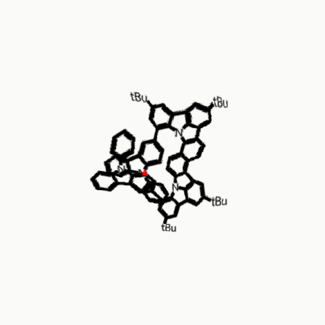 CC(C)(C)c1cc(-c2ccc3c(c2)c2ccccc2n3-c2ccccc2)c2c(c1)c1cc(C(C)(C)C)cc3c4c5ccc6c7cc(C(C)(C)C)cc8c9cc(C(C)(C)C)cc(-c%10ccc%11c(c%10)c%10ccccc%10n%11-c%10ccccc%10)c9n(c6c5ccc4n2c13)c87